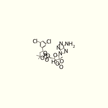 CC1(C)CC(c2cc(Cl)cc(Cl)c2)OP(=O)(OC[C@H]2O[C@@H](n3cnc4c(N)ncnc43)[C@]3(C)OC(=O)O[C@H]23)O1